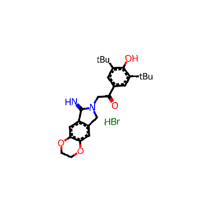 Br.CC(C)(C)c1cc(C(=O)CN2Cc3cc4c(cc3C2=N)OCCO4)cc(C(C)(C)C)c1O